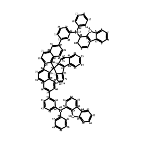 C1=Cc2c(oc3ccccc23)C(N(c2ccccc2)c2cccc(-c3ccc4c5c(ccc4c3)-c3ccc4cc(-c6cccc(N(c7ccccc7)c7cccc8c7oc7ccccc78)c6)ccc4c3C53c4ccccc4-c4c3ccc3ccccc43)c2)C1